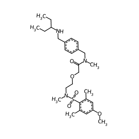 CCC(CC)NCc1ccc(CN(C)C(=O)COCCN(C)S(=O)(=O)c2c(C)cc(OC)cc2C)cc1